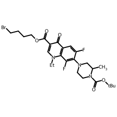 CCn1cc(C(=O)OCCCCBr)c(=O)c2cc(F)c(N3CCN(C(=O)OC(C)(C)C)C(C)C3)c(F)c21